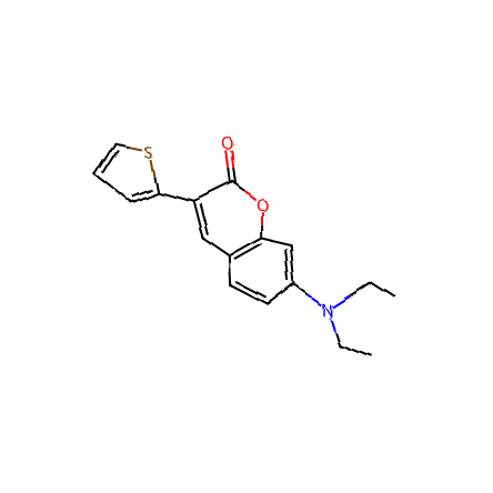 CCN(CC)c1ccc2cc(-c3cccs3)c(=O)oc2c1